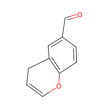 O=Cc1ccc2c(c1)CC=CO2